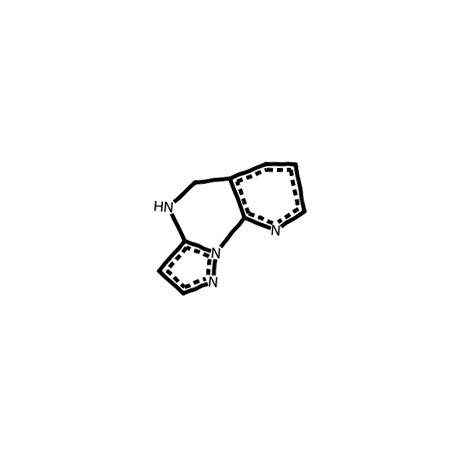 c1cnc2c(c1)CNc1ccnn1-2